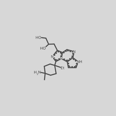 CCC1(c2nc(CC(O)CO)c3cnc4[nH]ccc4n23)CCC(C)(N)CC1